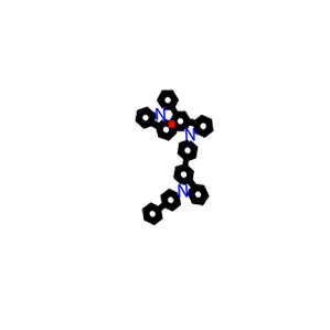 c1ccc(-c2ccc(-n3c4ccccc4c4cc(-c5ccc(-n6c7ccccc7c7cc(-c8ccccc8-n8c9ccccc9c9ccccc98)ccc76)cc5)ccc43)cc2)cc1